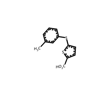 Cc1cccc(Sc2ccc(C(=O)O)s2)c1